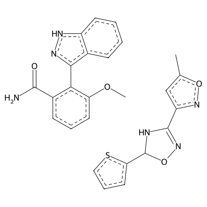 COc1cccc(C(N)=O)c1-c1n[nH]c2ccccc12.Cc1cc(C2=NOC(c3cccs3)N2)no1